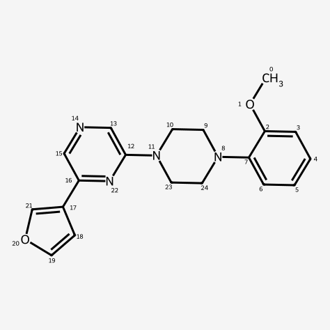 COc1ccccc1N1CCN(c2cncc(-c3ccoc3)n2)CC1